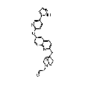 O=CCN1CC2CCC1CN2Cc1ccc2cc(Oc3ccc(-c4ccn[nH]4)cn3)ccc2n1